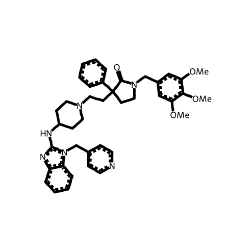 COc1cc(CN2CCC(CCN3CCC(Nc4nc5ccccc5n4Cc4ccncc4)CC3)(c3ccccc3)C2=O)cc(OC)c1OC